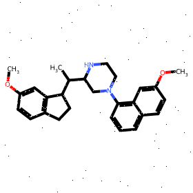 COc1ccc2c(c1)C(C(C)C1CN(c3cccc4ccc(OC)cc34)CCN1)CC2